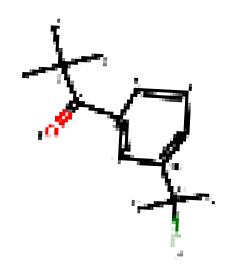 CC(C)(C)C(=O)c1cccc(C(C)(C)F)c1